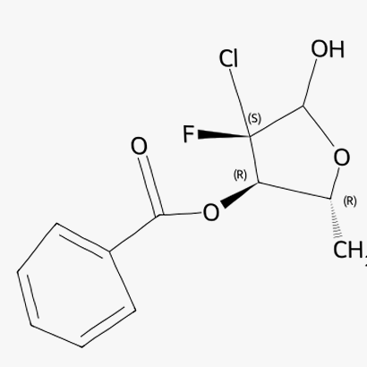 [CH2][C@H]1OC(O)[C@@](F)(Cl)[C@@H]1OC(=O)c1ccccc1